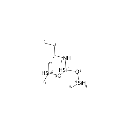 CCCN[SiH](O[SiH](C)C)O[SiH](C)C